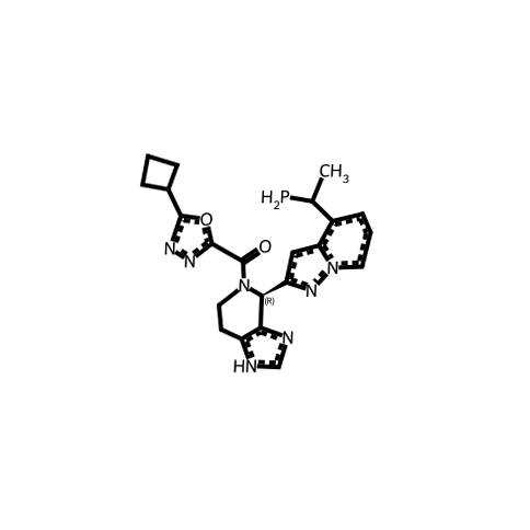 CC(P)c1cccn2nc([C@H]3c4nc[nH]c4CCN3C(=O)c3nnc(C4CCC4)o3)cc12